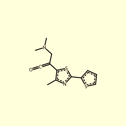 Cc1nc(-c2cccs2)sc1C(=C=O)CN(C)C